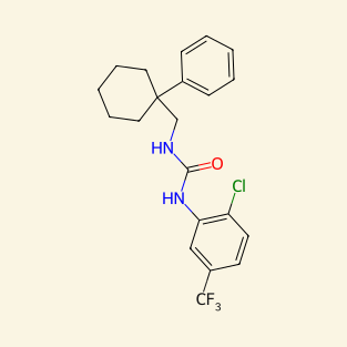 O=C(NCC1(c2ccccc2)CCCCC1)Nc1cc(C(F)(F)F)ccc1Cl